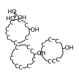 OC1CCCCCCCCCCCCCCC1.OC1CCCCCCCCCCCCCCC1.OC1CCCCCCCCCCCCCCC1.OP(O)O